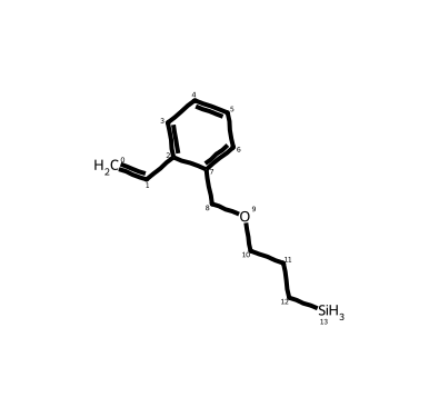 C=Cc1ccccc1COCCC[SiH3]